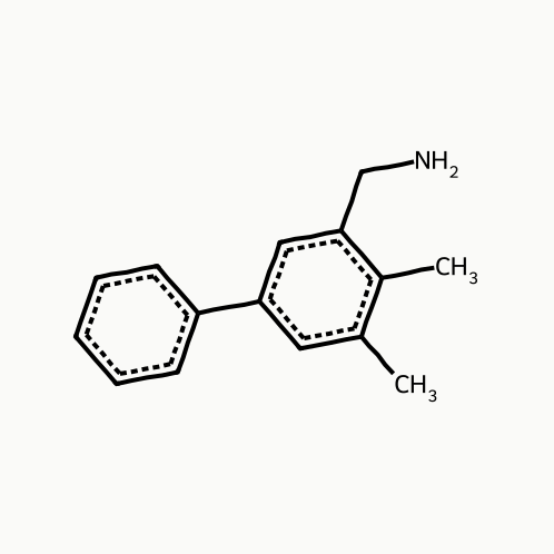 Cc1cc(-c2ccccc2)cc(CN)c1C